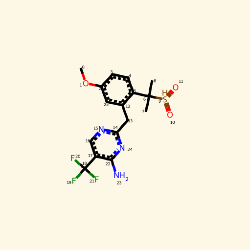 COc1ccc(C(C)(C)[SH](=O)=O)c(Cc2ncc(C(F)(F)F)c(N)n2)c1